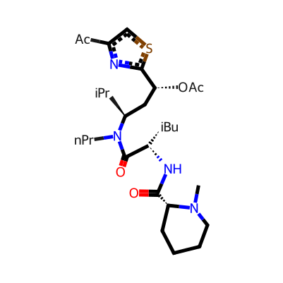 CCCN(C(=O)[C@@H](NC(=O)[C@H]1CCCCN1C)[C@@H](C)CC)[C@H](C[C@@H](OC(C)=O)c1nc(C(C)=O)cs1)C(C)C